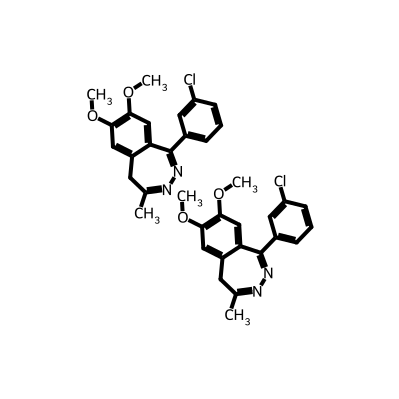 COc1cc2c(cc1OC)C(c1cccc(Cl)c1)=NN=C(C)C2.COc1cc2c(cc1OC)C(c1cccc(Cl)c1)=NN=C(C)C2